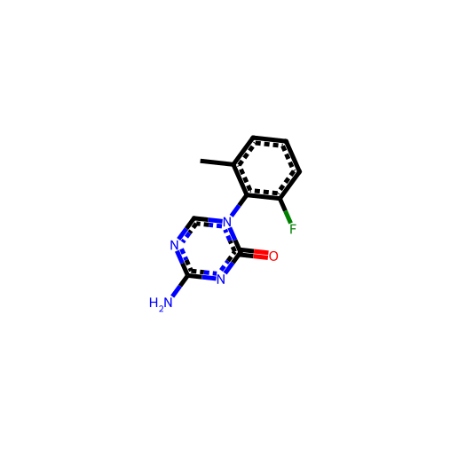 Cc1cccc(F)c1-n1cnc(N)nc1=O